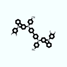 N#Cc1ccc(N(c2ccc(-c3ccc(N(c4ccc(C#N)cc4)c4ccc5c(c4)c4ccccc4n5-c4ccc(F)c(F)c4)cc3)cc2)c2ccc3c(c2)c2ccccc2n3-c2ccc(F)c(F)c2)cc1